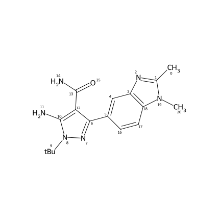 Cc1nc2cc(-c3nn(C(C)(C)C)c(N)c3C(N)=O)ccc2n1C